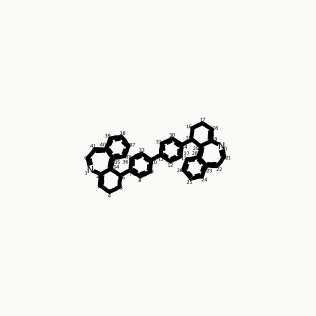 C1=NC2=CCCC(c3ccc(-c4ccc(C5CCC=C6N=CC=c7ccccc7=C65)cc4)cc3)C2=c2ccccc2=C1